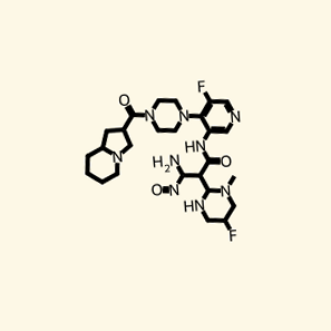 CN1CC(F)CNC1C(C(=O)Nc1cncc(F)c1N1CCN(C(=O)C2CC3CCCCN3C2)CC1)C(N)N=O